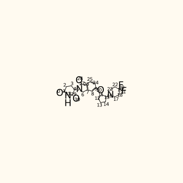 O=C1CCC(N2Cc3cc(OC4CCCC4N4CCC(F)(F)CC4)ccc3C2=O)C(=O)N1